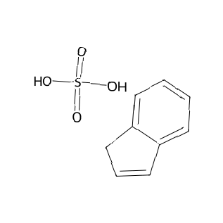 C1=Cc2ccccc2C1.O=S(=O)(O)O